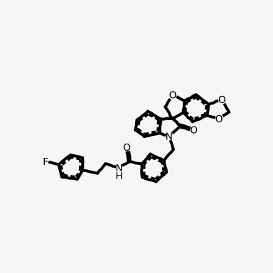 O=C(NCCc1ccc(F)cc1)c1cccc(CN2C(=O)C3(COc4cc5c(cc43)OCO5)c3ccccc32)c1